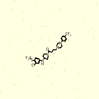 O=C(CCCN1CCN(c2ccc(C(F)(F)F)cc2)CC1)N1CCC(Nc2ccc(SC(F)(F)F)c(Cl)c2)CC1